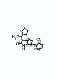 CC(C1CCCC1)C1C(=O)Nc2cc(-c3ccccc3C#N)ccc21